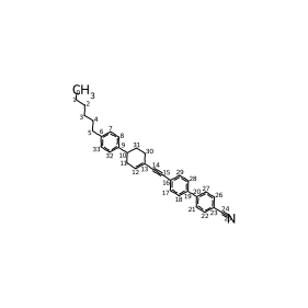 CCCCCCc1ccc(C2CC=C(C#Cc3ccc(-c4ccc(C#N)cc4)cc3)CC2)cc1